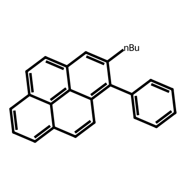 CCCCc1cc2ccc3cccc4ccc(c1-c1ccccc1)c2c34